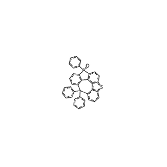 O=P1(c2ccccc2)c2cccc3c2-c2c1ccc1sc4cccc(c4c21)C3(c1ccccc1)c1ccccc1